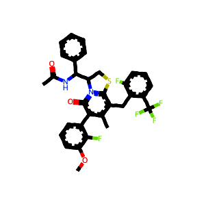 COc1cccc(-c2c(C)c(Cc3c(F)cccc3C(F)(F)F)c3n(c2=O)C(C(NC(C)=O)c2ccccc2)CS3)c1F